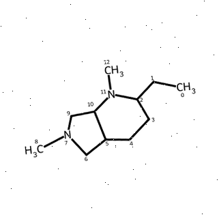 CCC1CCC2CN(C)CC2N1C